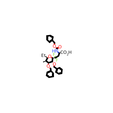 CC[C@H]1O[C@@H](C(F)(F)C[C@H](NC(=O)OCc2ccccc2)C(=O)O)[C@H](OCc2ccccc2)[C@@H](OCc2ccccc2)[C@H]1C